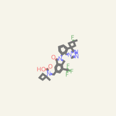 Cn1cnnc1C1(c2cccc(N3Cc4c(cc(CN(C(=O)O)C5(C)CCC5)cc4C(F)(F)F)C3=O)c2)CC(C)(F)C1